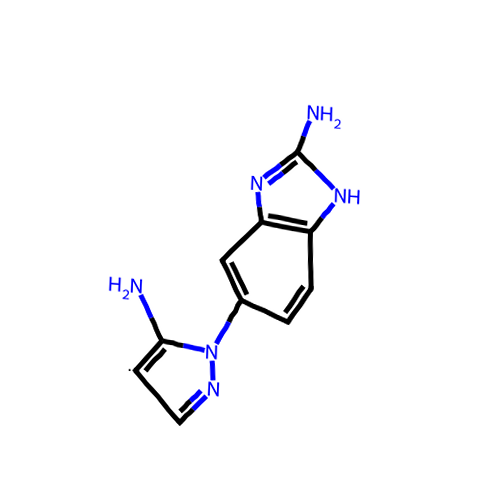 Nc1nc2cc(-n3nc[c]c3N)ccc2[nH]1